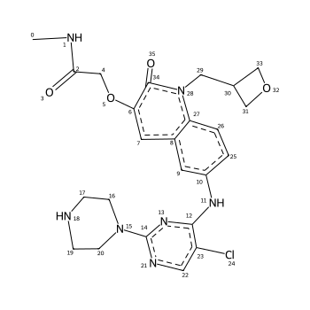 CNC(=O)COc1cc2cc(Nc3nc(N4CCNCC4)ncc3Cl)ccc2n(CC2COC2)c1=O